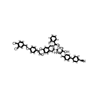 N#Cc1ccc(-c2ccc(C[C@H](NC(=O)[C@@H]3Cc4cc5c(cc4CN3C(=O)c3ccccc3F)OC(c3ccc(OCc4ccc(Cl)c(Cl)c4)cc3)CO5)C(=O)O)cc2)cc1